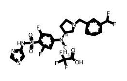 CN(c1cc(F)c(S(=O)(=O)Nc2cscn2)c(F)c1)[C@H]1CCN(Cc2cccc(C(F)F)c2)C1.O=C(O)C(F)(F)F